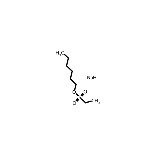 CCCCCCOS(=O)(=O)CC.[NaH]